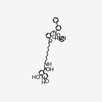 O=C(O[C@H]1CN2CCC1CC2)N(Cc1cccc(OCCCCCCCCCNC[C@H](O)c2ccc(O)c3[nH]c(=O)ccc23)c1)c1cccc(-c2ccccc2)c1